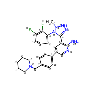 CN1NN=C(c2cc(-c3ccc(CN4CCCCC4)cc3)cnc2N)N1c1cccc(F)c1F